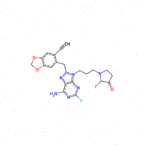 C#Cc1cc2c(cc1Cc1nc3c(N)nc(F)nc3n1CCCN1CCC(=O)C1I)OCO2